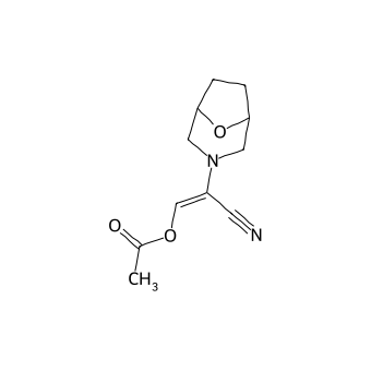 CC(=O)O/C=C(\C#N)N1CC2CCC(C1)O2